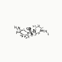 Cc1cc(F)c(N)cc1S(=O)(=O)N1CCCN(C)CC1